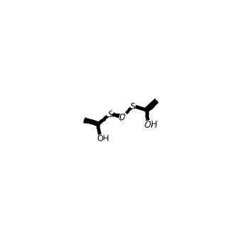 C=C(O)SOSC(=C)O